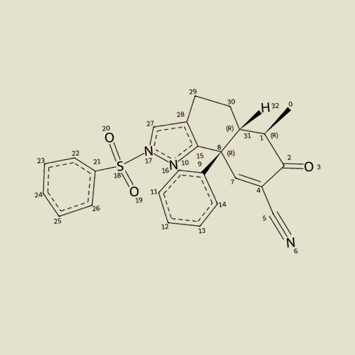 C[C@H]1C(=O)C(C#N)=C[C@]2(c3ccccc3)c3nn(S(=O)(=O)c4ccccc4)cc3CC[C@H]12